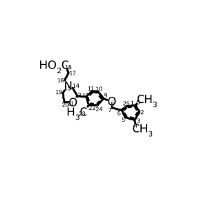 Cc1cc(C)cc(COc2ccc(C3CN(CCC(=O)O)CCO3)c(C)c2)c1